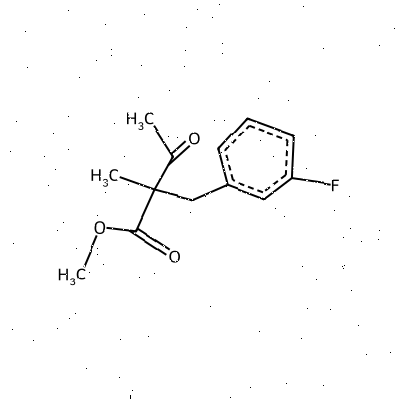 COC(=O)C(C)(Cc1cccc(F)c1)C(C)=O